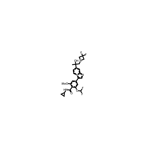 COc1cc(-c2cnc3cc(C(C)(O)CN4CC(F)(F)C4)ccn23)cc(OC(F)F)c1C(=O)NC1CC1